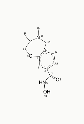 CC1COc2cc(C(=O)NO)ccc2CN1C